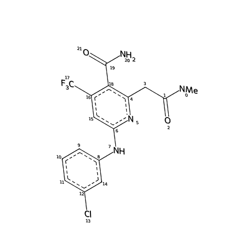 CNC(=O)Cc1nc(Nc2cccc(Cl)c2)cc(C(F)(F)F)c1C(N)=O